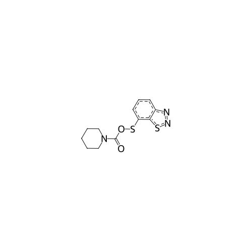 O=C(OSc1cccc2nnsc12)N1CCCCC1